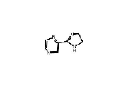 c1cnc(C2=NCCN2)cn1